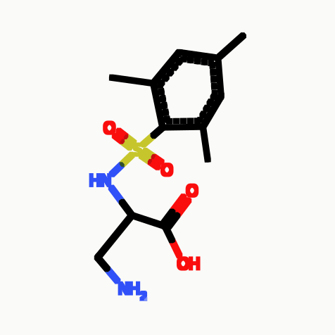 Cc1cc(C)c(S(=O)(=O)NC(CN)C(=O)O)c(C)c1